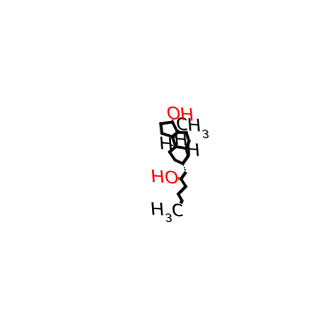 CCCCC(O)C[C@@H]1CC[C@@H]2[C@H](CC[C@]3(C)[C@@H](O)CC[C@@H]23)C1